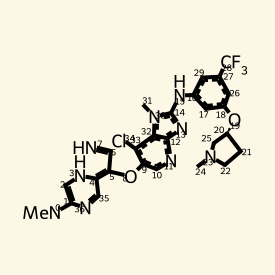 CNC1=CN/C(=C(\C=N)Oc2cnc3nc(Nc4cc(O[C@@H]5CCN(C)C5)cc(C(F)(F)F)c4)n(C)c3c2Cl)C=N1